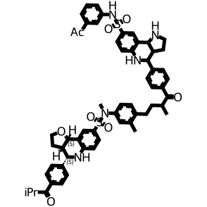 CC(=O)c1cccc(NS(=O)(=O)c2ccc3c(c2)C2NCCC2C(c2ccc(C(=O)C(C)CCc4ccc(N(C)S(=O)(=O)c5ccc6c(c5)[C@H]5OCC[C@H]5[C@@H](c5ccc(C(=O)C(C)C)cc5)N6)cc4C)cc2)N3)c1